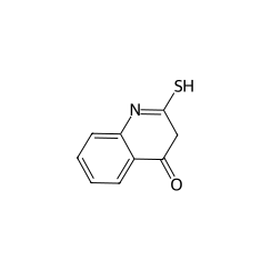 O=C1CC(S)=Nc2ccccc21